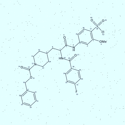 COc1cc(NC(=O)C(CC2CCN(C(=O)OCc3ccccc3)CC2)NC(=O)c2ccc(F)cc2)ccc1S(=O)(=O)Cl